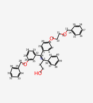 OCC/C(=C(/c1ccc(OCCOCc2ccccc2)cc1)c1cccc(OCc2ccccc2)c1)c1ccccc1